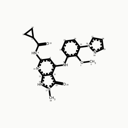 COc1c(Nc2cc(NC(=O)C3CC3)nc3[nH]n(C)c(=O)c23)cccc1-n1cccn1